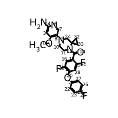 COc1cc(N)ncc1N1CCN(C(=O)c2cc(F)c(Oc3ccc(F)cc3)cc2F)C2(CC2)C1